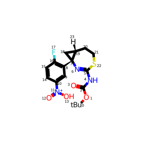 CC(C)(C)OC(=O)NC1=N[C@]2(c3cc([N+](=O)O)ccc3F)C[C@@H]2CCS1